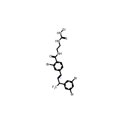 CCNC(=S)NCCNC(=O)c1ccc(/C=C/C(c2cc(Br)cc(Br)c2)C(F)(F)F)cc1Br